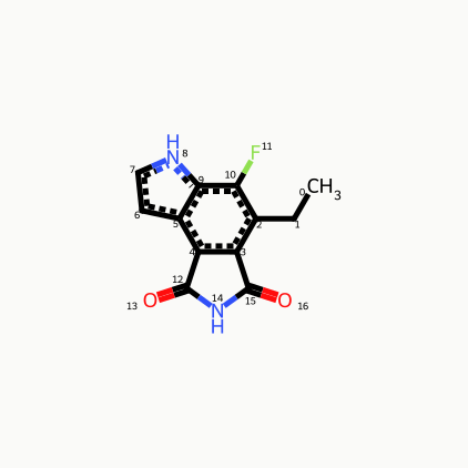 CCc1c2c(c3cc[nH]c3c1F)C(=O)NC2=O